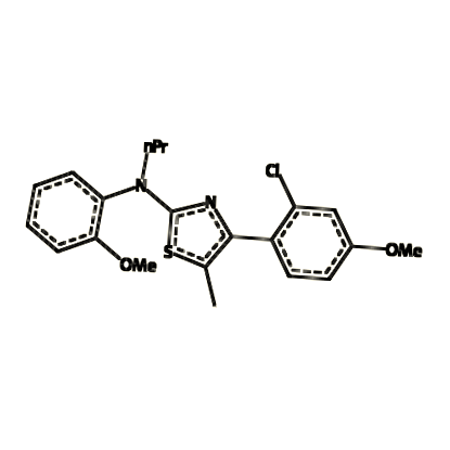 CCCN(c1nc(-c2ccc(OC)cc2Cl)c(C)s1)c1ccccc1OC